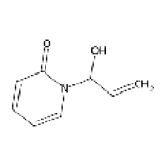 C=CC(O)n1ccccc1=O